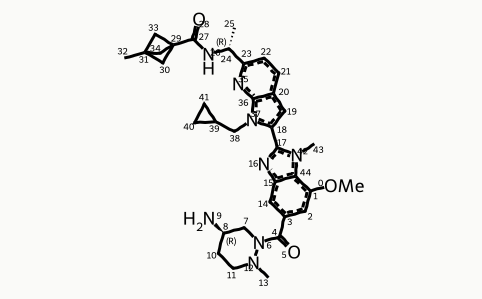 COc1cc(C(=O)N2C[C@H](N)CCN2C)cc2nc(-c3cc4ccc([C@@H](C)NC(=O)C56CC(C)(C5)C6)nc4n3CC3CC3)n(C)c12